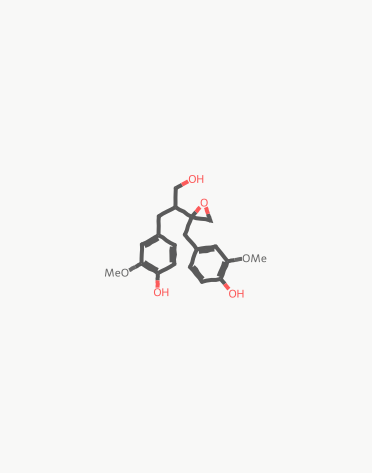 COc1cc(CC(CO)C2(Cc3ccc(O)c(OC)c3)CO2)ccc1O